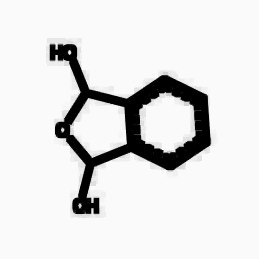 OC1OC(O)c2ccccc21